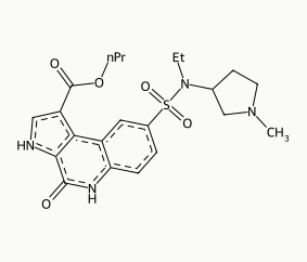 CCCOC(=O)c1c[nH]c2c(=O)[nH]c3ccc(S(=O)(=O)N(CC)C4CCN(C)C4)cc3c12